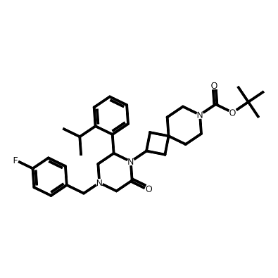 CC(C)c1ccccc1C1CN(Cc2ccc(F)cc2)CC(=O)N1C1CC2(CCN(C(=O)OC(C)(C)C)CC2)C1